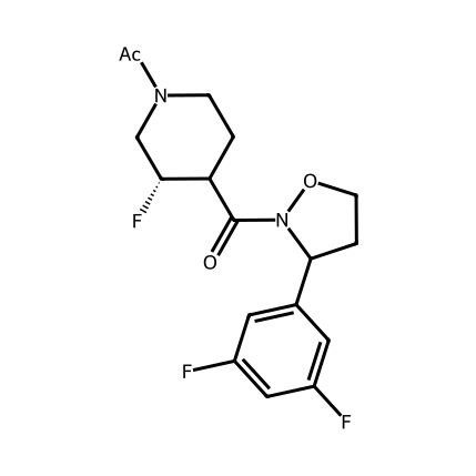 CC(=O)N1CCC(C(=O)N2OCCC2c2cc(F)cc(F)c2)[C@H](F)C1